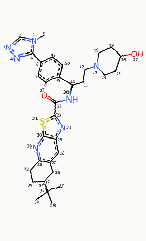 Cn1cnnc1-c1ccc(C(CCN2CCC(O)CC2)NC(=O)c2nc3cc4c(nc3s2)CC[C@H](C(C)(C)C)C4)cc1